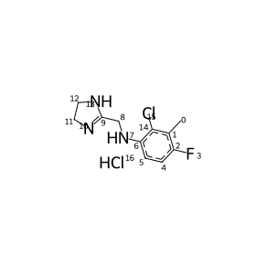 Cc1c(F)ccc(NCC2=NCCN2)c1Cl.Cl